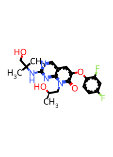 C[C@@H](O)Cn1c(=O)c(Oc2ccc(F)cc2F)cc2cnc(NC(C)(C)CO)nc21